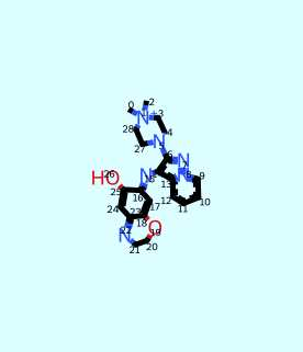 C[N+]1(C)CCN(c2nn3ccccc3c2/N=C2\C=C3OCCN=C3C=C2O)CC1